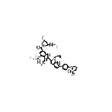 COc1cc(C(=O)N2C[C@H](N)C[C@@H](F)C2)cc2nc(-c3cc4ccc(-c5ccc(N6CCCS6(=O)=O)cc5)nc4n3CC3CC3)n(C)c12